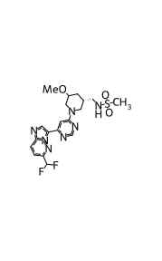 COC1C[C@H](CNS(C)(=O)=O)CN(c2cc(-c3cnc4ccc(C(F)F)nn34)ncn2)C1